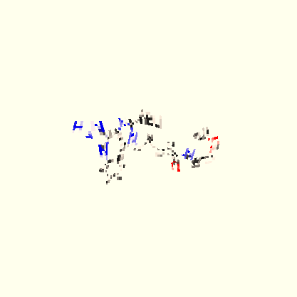 CCCCc1nc2c(N)nc3ccccc3c2n1CCCCC(=O)N1CCOCC1